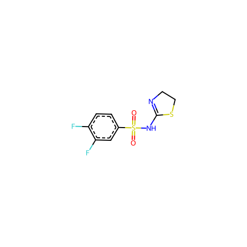 O=S(=O)(NC1=NCCS1)c1ccc(F)c(F)c1